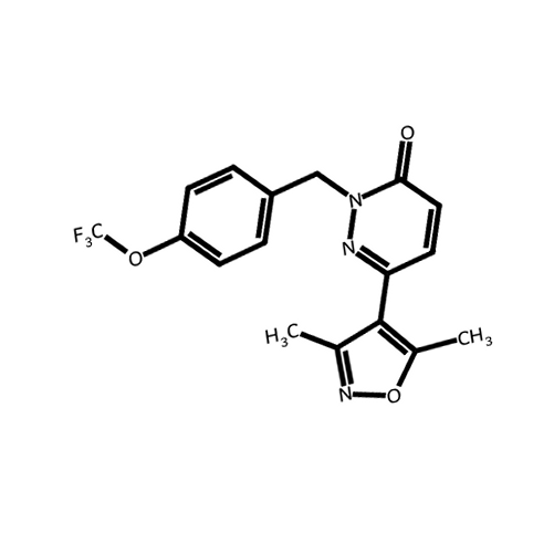 Cc1noc(C)c1-c1ccc(=O)n(Cc2ccc(OC(F)(F)F)cc2)n1